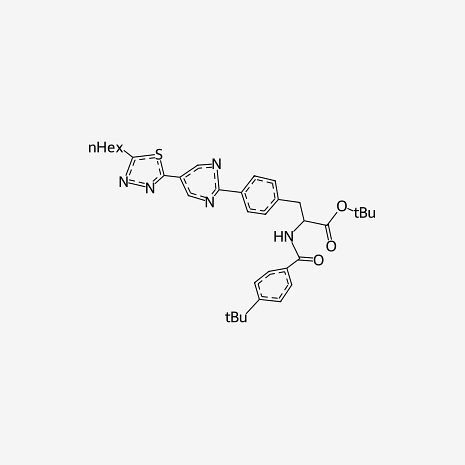 CCCCCCc1nnc(-c2cnc(-c3ccc(CC(NC(=O)c4ccc(C(C)(C)C)cc4)C(=O)OC(C)(C)C)cc3)nc2)s1